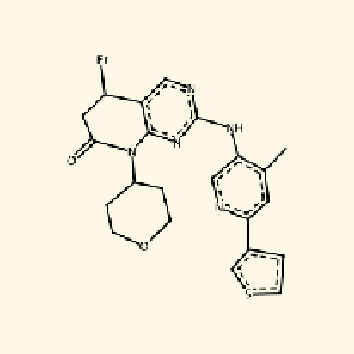 CCC1CC(=O)N(C2CCOCC2)c2nc(Nc3cnc(-c4ccsc4)cc3C)ncc21